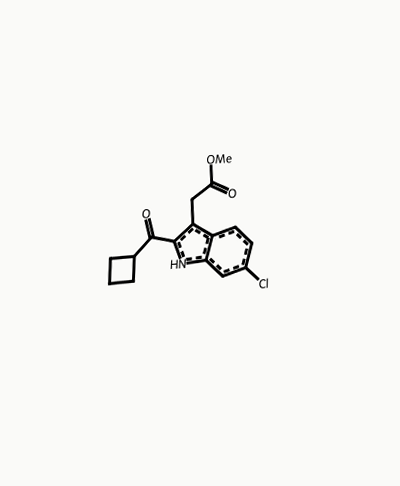 COC(=O)Cc1c(C(=O)C2CCC2)[nH]c2cc(Cl)ccc12